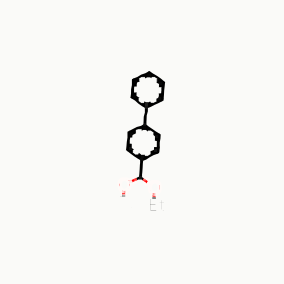 CCOC(OCC)c1ccc(-c2ccccc2)cc1